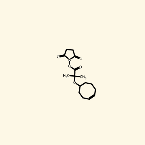 CC(C)(OC1CCC=CCCC1)C(=O)ON1C(=O)CCC1=O